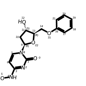 O=c1nc(NO)ccn1[C@H]1C[C@H](O)[C@@H](COc2ccccc2)O1